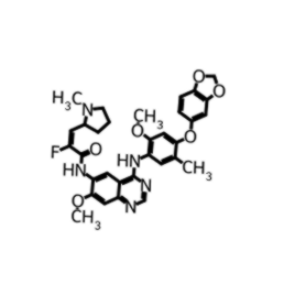 COc1cc2ncnc(Nc3cc(C)c(Oc4ccc5c(c4)OCO5)cc3OC)c2cc1NC(=O)/C(F)=C\C1CCCN1C